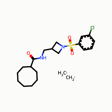 O=C(NCC1CN(S(=O)(=O)c2cccc(Cl)c2)C1)[C]1CCCCCCC1.[CH2].[CH2]